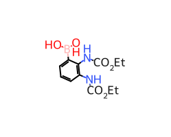 CCOC(=O)Nc1cccc(B(O)O)c1NC(=O)OCC